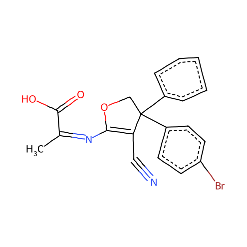 CC(=NC1=C(C#N)C(c2ccccc2)(c2ccc(Br)cc2)CO1)C(=O)O